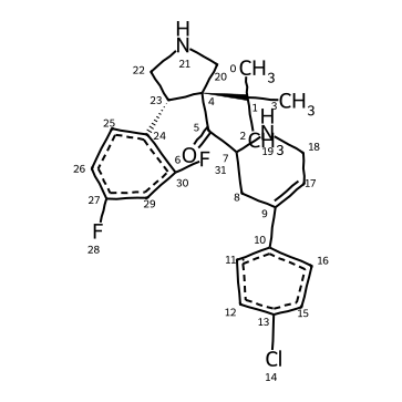 CC(C)(C)[C@]1(C(=O)C2CC(c3[c]cc(Cl)cc3)=CCN2)CNC[C@H]1c1ccc(F)cc1F